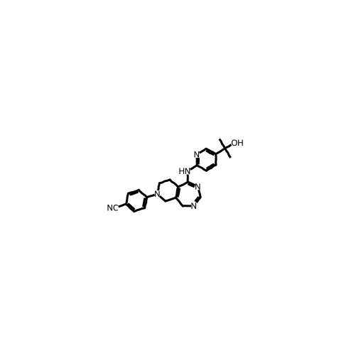 CC(C)(O)c1ccc(NC2=NC=NCC3=C2CCN(c2ccc(C#N)cc2)C3)nc1